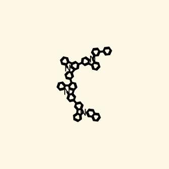 c1ccc(-c2cccc(-n3c4ccccc4c4cc(-c5cc6c7ccccc7n7c8ccc(-c9ccc%10c%11cc(-c%12ccc%13c(c%12)c%12ccccc%12n%13-c%12ccc%13ccccc%13c%12)ccc%11n%11c%12ccccc%12c9c%10%11)cc8c(c5)c67)ccc43)c2)cc1